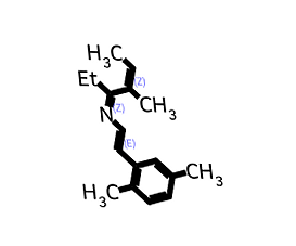 C\C=C(C)/C(CC)=N\C=C\c1cc(C)ccc1C